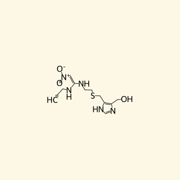 C#CCNC(=C[N+](=O)[O-])NCCSCc1[nH]cnc1CO